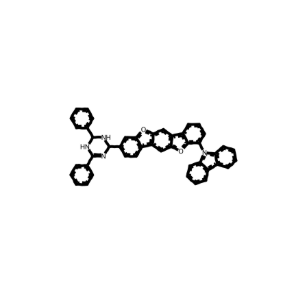 c1ccc(C2=NC(c3ccc4c(c3)oc3cc5c(cc34)oc3c(-n4c6ccccc6c6ccccc64)cccc35)NC(c3ccccc3)N2)cc1